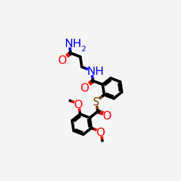 COc1cccc(OC)c1C(=O)Sc1ccccc1C(=O)NCCC(N)=O